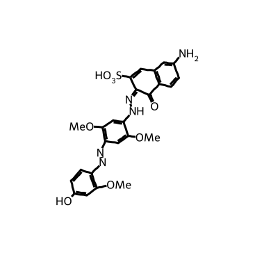 COc1cc(O)ccc1/N=N/c1cc(OC)c(N/N=C2\C(=O)c3ccc(N)cc3C=C2S(=O)(=O)O)cc1OC